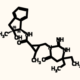 CCC1(CC)CC(=O)N(CC2C(C)C2C(=O)N[C@@H]2c3ccccc3C[C@]2(C)O)C(=N)N1